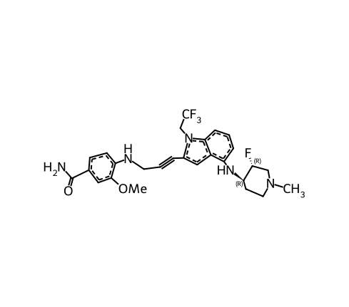 COc1cc(C(N)=O)ccc1NCC#Cc1cc2c(N[C@@H]3CCN(C)C[C@H]3F)cccc2n1CC(F)(F)F